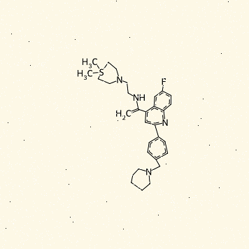 C=C(NCCN1CCS(C)(C)CC1)c1cc(-c2ccc(CN3CCCCC3)cc2)nc2ccc(F)cc12